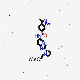 COCCN1CCCC1c1cn2cc(NC(=O)c3ccc4c(C)nn(C)c4c3)ccc2n1